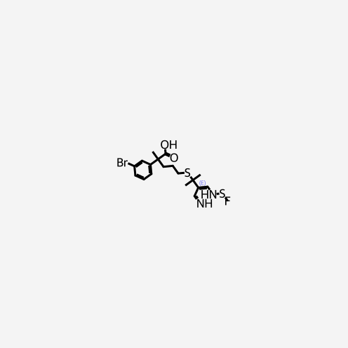 CC(C)(SCCCC(C)(C(=O)O)c1cccc(Br)c1)/C(C=N)=C/NSF